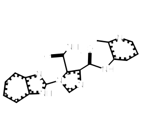 Cc1ncccc1NC(=O)c1ncn(-c2nc3ccccc3[nH]2)c1C(N)=O